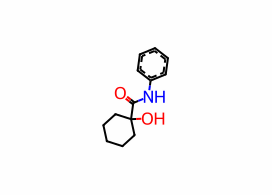 O=C(Nc1ccccc1)C1(O)CCCCC1